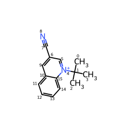 CC(C)(C)[n+]1cc(C#N)cc2ccccc21